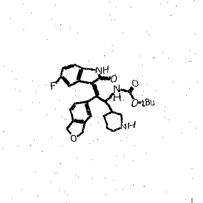 CC(C)(C)OC(=O)NC(C(=C1C(=O)Nc2ccc(F)cc21)c1ccc2c(c1)COC2)C1CCCNC1